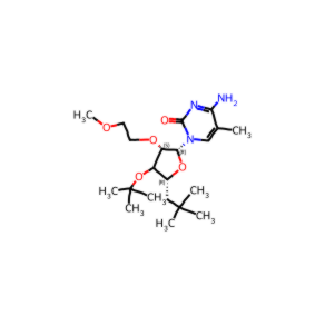 COCCO[C@H]1C(OC(C)(C)C)[C@@H](CC(C)(C)C)O[C@H]1n1cc(C)c(N)nc1=O